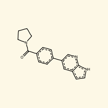 O=C(c1ccc(-c2cnc3[nH]ccc3c2)cc1)N1CCCC1